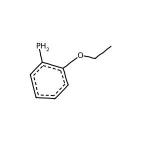 CCOc1ccccc1P